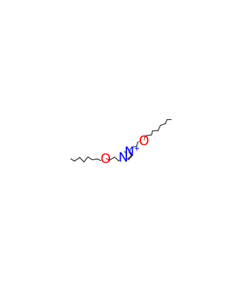 CCCCCCCCOCCCn1cc[n+](CCCOCCCCCCCC)c1